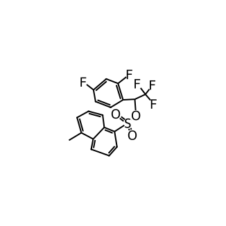 Cc1cccc2c(S(=O)(=O)OC(c3ccc(F)cc3F)C(F)(F)F)cccc12